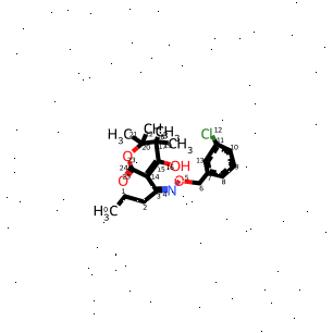 CCCC(=NOCc1cccc(Cl)c1)C1=C(O)C(C)(C)C(C)(C)OC1=O